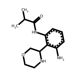 CC(C)C(=O)Nc1cccc(N)c1C1COCCN1